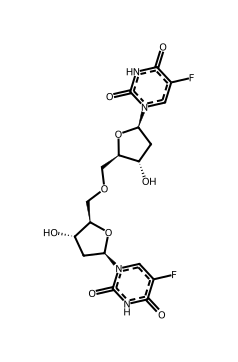 O=c1[nH]c(=O)n([C@H]2C[C@H](O)[C@@H](COC[C@H]3O[C@@H](n4cc(F)c(=O)[nH]c4=O)C[C@@H]3O)O2)cc1F